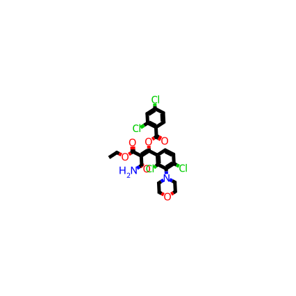 CCOC(=O)C(C(N)=O)=C(OC(=O)c1ccc(Cl)cc1Cl)c1ccc(Cl)c(N2CCOCC2)c1Cl